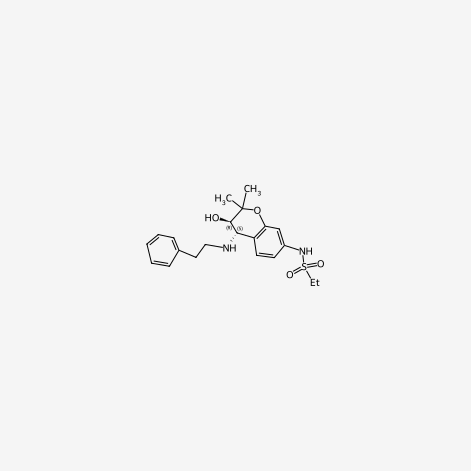 CCS(=O)(=O)Nc1ccc2c(c1)OC(C)(C)[C@H](O)[C@H]2NCCc1ccccc1